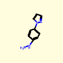 NNc1ccc(-n2cccn2)cc1